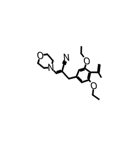 C=C(C)c1c(OCC)cc(CC(C#N)=CN2CCOCC2)cc1OCC